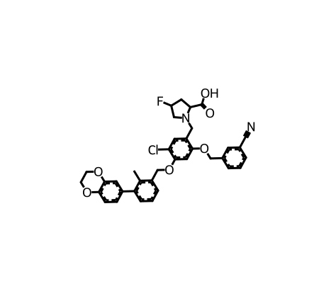 Cc1c(COc2cc(OCc3cccc(C#N)c3)c(CN3CC(F)CC3C(=O)O)cc2Cl)cccc1-c1ccc2c(c1)OCCO2